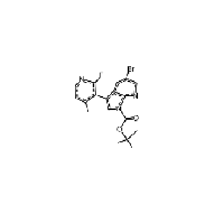 Cc1ccnc(F)c1-c1cn(C(=O)OC(C)(C)C)c2ncc(Br)cc12